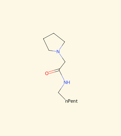 CCCCCCNC(=O)CN1CCCC1